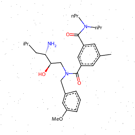 CCCN(CCC)C(=O)c1cc(C)cc(C(=O)N(Cc2cccc(OC)c2)C[C@@H](O)[C@@H](N)CC(C)C)c1